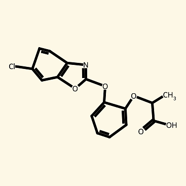 CC(Oc1ccccc1Oc1nc2ccc(Cl)cc2o1)C(=O)O